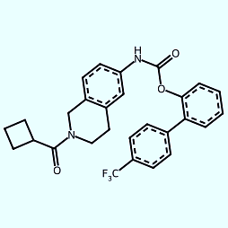 O=C(Nc1ccc2c(c1)CCN(C(=O)C1CCC1)C2)Oc1ccccc1-c1ccc(C(F)(F)F)cc1